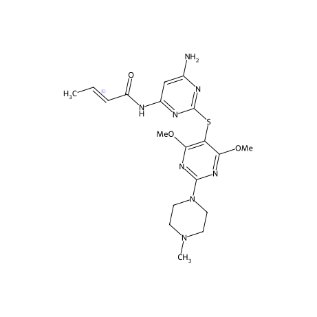 C/C=C/C(=O)Nc1cc(N)nc(Sc2c(OC)nc(N3CCN(C)CC3)nc2OC)n1